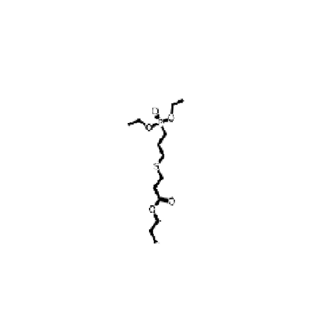 [CH2]C[CH]OC(=O)CCSCCCP(=O)(OCC)OCC